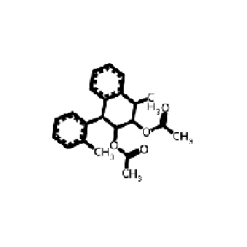 CC(=O)OC1C(C)c2ccccc2C(c2ccccc2C)C1OC(C)=O